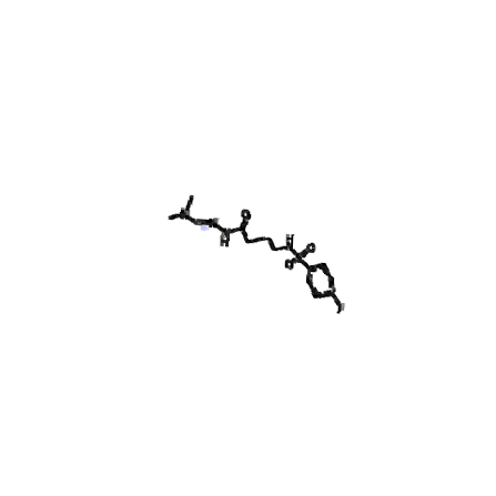 CN(C)/C=N/NC(=O)CCCNS(=O)(=O)c1ccc(F)cc1